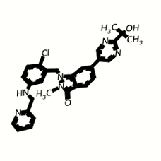 Cn1c(=O)c2ccc(-c3cnc(C(C)(C)O)nc3)cc2n1Cc1cc(NCc2ccccn2)ccc1Cl